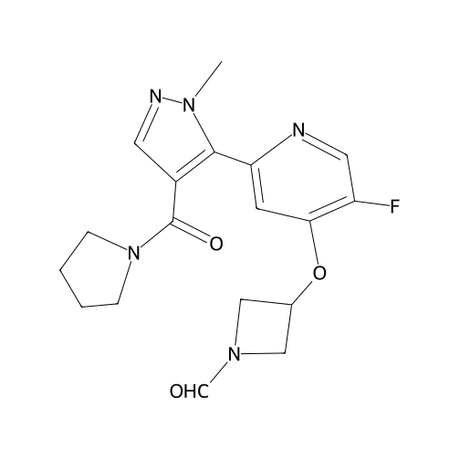 Cn1ncc(C(=O)N2CCCC2)c1-c1cc(OC2CN(C=O)C2)c(F)cn1